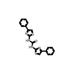 O=C(Nc1nc(-c2ccccc2)cs1)Nc1nc(-c2ccccc2)cs1